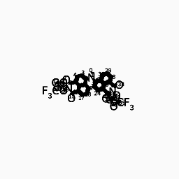 CN(C1=CC=C2C(=O)N(OS(=O)(=O)C(F)(F)F)C(=O)C3=CC=CC1C32)c1ccc2c3c(cccc13)C(=O)N(OS(=O)(=O)C(F)(F)F)C2=O